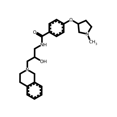 CN1CCC(Oc2ccc(C(=O)NCC(O)CN3CCc4ccccc4C3)cc2)C1